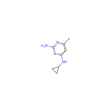 Nc1nc(I)cc(NC2CC2)n1